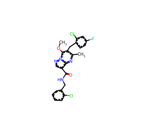 COc1c(Cc2ccc(F)cc2Cl)c(C)nc2c(C(=O)NCc3ccccc3Cl)cnn12